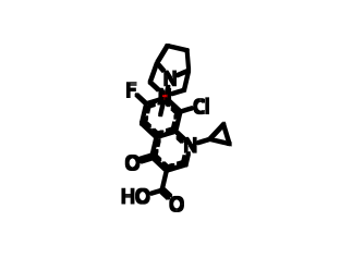 CN1CC2CCC(C1)N2c1c(F)cc2c(=O)c(C(=O)O)cn(C3CC3)c2c1Cl